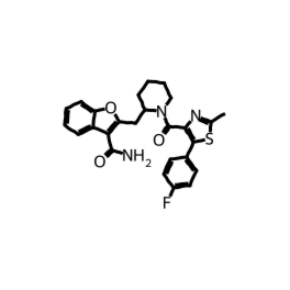 Cc1nc(C(=O)N2CCCCC2Cc2oc3ccccc3c2C(N)=O)c(-c2ccc(F)cc2)s1